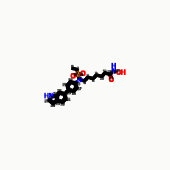 CCS(=O)(=O)N(CCCCCCC(=O)NO)c1ccc(-c2ccc3cc[nH]c3c2)cc1